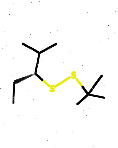 CC[C@@H](SSC(C)(C)C)C(C)C